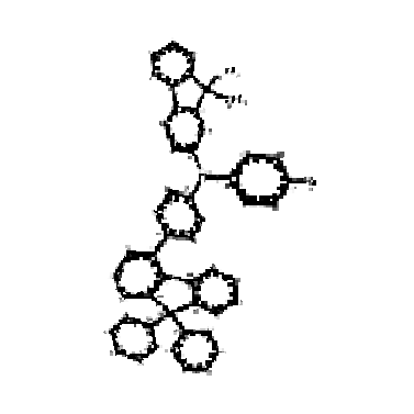 CC1(C)c2ccccc2-c2ccc(N(c3ccc(Br)cc3)c3ccc(-c4cccc5c4-c4ccccc4C5(c4ccccc4)c4ccccc4)cc3)cc21